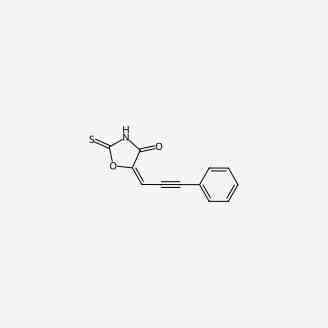 O=C1NC(=S)OC1=CC#Cc1ccccc1